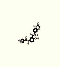 O=C1COc2cc(NC(=O)c3cc(NC(=O)c4cn[nH]c4)ccc3O)ccc2N1